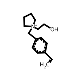 C=Cc1ccc(C[N+]2(CCO)CCCC2)cc1